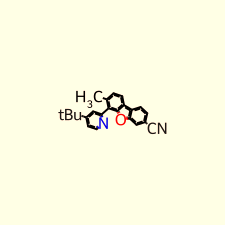 Cc1ccc2c(oc3cc(C#N)ccc32)c1-c1cc(C(C)(C)C)ccn1